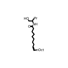 CCCCCCCC/C=C\CCCCCCCC(=O)NC(CO)C(C)C